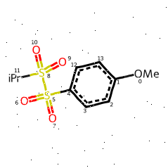 COc1ccc(S(=O)(=O)S(=O)(=O)C(C)C)cc1